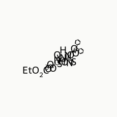 CCOC(=O)OC(C)OC(=O)C1=CN2C(=O)C(NC(=O)C(=NOCC(=O)OC(c3ccccc3)c3ccccc3)c3cscn3)[C@H]2SC1